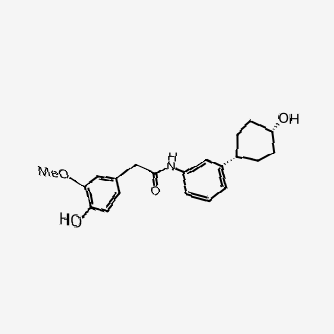 COc1cc(CC(=O)Nc2cccc([C@H]3CC[C@@H](O)CC3)c2)ccc1O